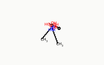 CCCCCCCCCCCCCCNC(=O)N(CCCCCCCCCCCCCC)[C@@H]1O[C@H](CO)[C@H](O)[C@H](O)[C@@H]1NC(=O)OCc1ccccc1